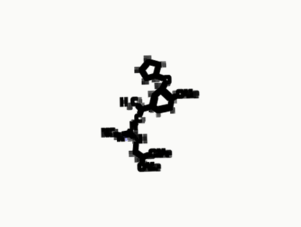 COc1ccc(C(C)CN/C(=N\C#N)NCC(OC)OC)cc1OC1CCCC1